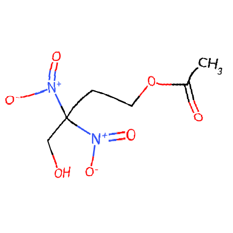 CC(=O)OCCC(CO)([N+](=O)[O-])[N+](=O)[O-]